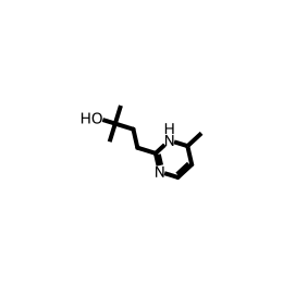 CC1C=CN=C(CCC(C)(C)O)N1